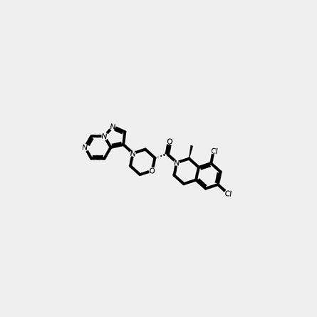 C[C@H]1c2c(Cl)cc(Cl)cc2CCN1C(=O)[C@H]1CN(c2cnn3cnccc23)CCO1